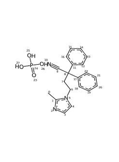 Cc1nccn1CCC(C#N)(c1ccccc1)c1ccccc1.O=P(O)(O)O